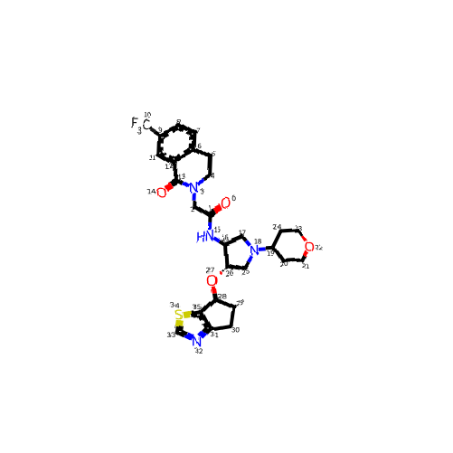 O=C(CN1CCc2ccc(C(F)(F)F)cc2C1=O)NC1CN(C2CCOCC2)C[C@@H]1OC1CCc2ncsc21